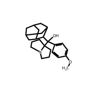 COc1ccc(C(O)(C2C3CC4CC(C3)CC2C4)C23CCCN2CCC3)cc1